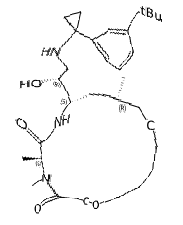 C[C@@H]1CCCCCCOCC(=O)N(C)[C@@H](C)C(=O)N[C@H]([C@H](O)CNC2(c3cccc(C(C)(C)C)c3)CC2)C1